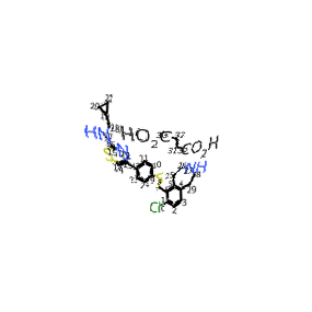 Clc1ccc2c(c1CSc1ccc(-c3csc(NCC4CC4)n3)cc1)CCNCC2.O=C(O)CCC(=O)O